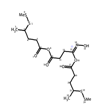 CSSC(C)CCC(=O)OC(=O)CC/C(=N/O)OC(=O)CCC(C)SSC